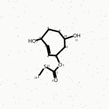 O=C(OC1/C=C/C(O)CCC(O)C1)SI